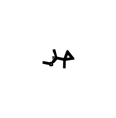 CO[C@@H](C)C1(C)CC1